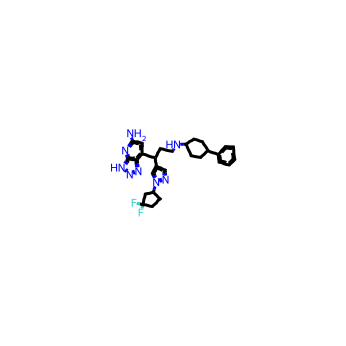 Nc1cc(C(CCNC2CCC(c3ccccc3)CC2)c2cnn(C3CCC(F)(F)C3)c2)c2nn[nH]c2n1